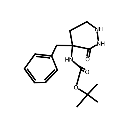 CC(C)(C)OC(=O)NC1(Cc2ccccc2)CCNNC1=O